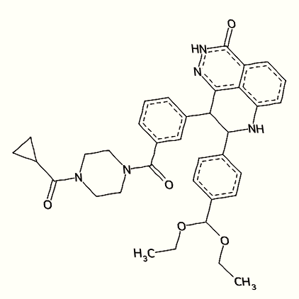 CCOC(OCC)c1ccc(C2Nc3cccc4c(=O)[nH]nc(c34)C2c2cccc(C(=O)N3CCN(C(=O)C4CC4)CC3)c2)cc1